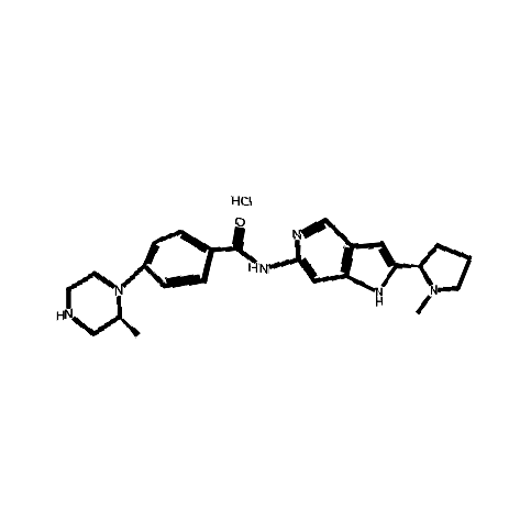 C[C@H]1CNCCN1c1ccc(C(=O)Nc2cc3[nH]c([C@H]4CCCN4C)cc3cn2)cc1.Cl